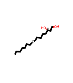 CCCCCCCCCCCCC[C@@H](O)CCO